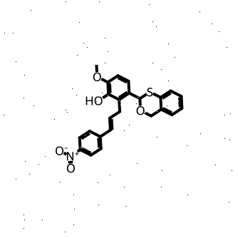 COc1ccc(C2OCc3ccccc3S2)c(CC=Cc2ccc([N+](=O)[O-])cc2)c1O